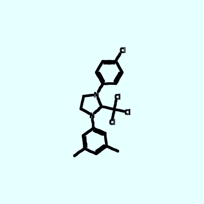 Cc1cc(C)cc(N2CCN(c3ccc(Cl)cc3)C2C(Cl)(Cl)Cl)c1